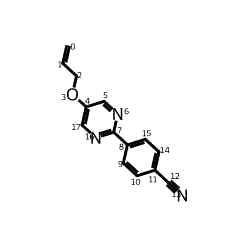 C=CCOc1cnc(-c2ccc(C#N)cc2)nc1